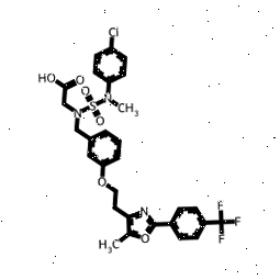 Cc1oc(-c2ccc(C(F)(F)F)cc2)nc1CCOc1cccc(CN(CC(=O)O)S(=O)(=O)N(C)c2ccc(Cl)cc2)c1